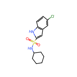 O=S(=O)(NC1CCCCC1)c1cc2cc(Cl)ccc2[nH]1